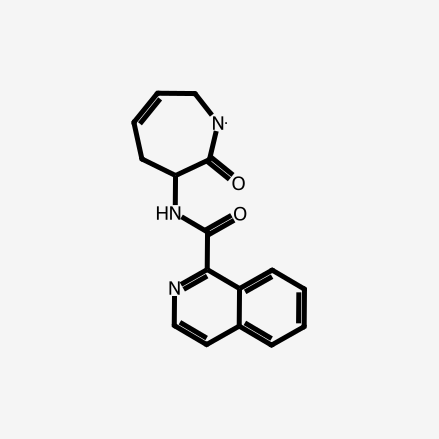 O=C(NC1CC=CC[N]C1=O)c1nccc2ccccc12